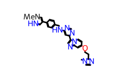 CN/C=C(\C=N)c1ccc(CNc2cc(-c3cnc4cc(OCCc5nccn5C)ccn34)ncn2)cc1